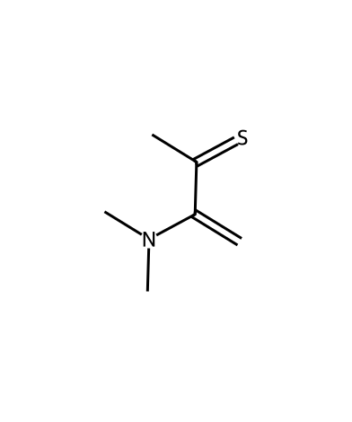 C=C(C(C)=S)N(C)C